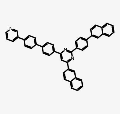 c1cncc(-c2ccc(-c3ccc(-c4cc(-c5ccc6ccccc6c5)nc(-c5ccc(-c6ccc7ccccc7c6)cc5)n4)cc3)cc2)c1